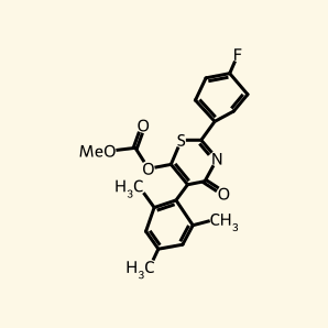 COC(=O)Oc1sc(-c2ccc(F)cc2)nc(=O)c1-c1c(C)cc(C)cc1C